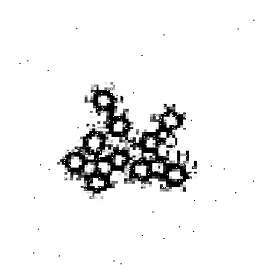 CC1(c2cc(N(c3ccc(-c4ccccc4)cc3)c3ccc4c(c3)C(c3ccccc3)(c3ccccc3)c3ccccc3-4)cc3c2oc2ccccc23)c2ccccc2-c2ccccc21